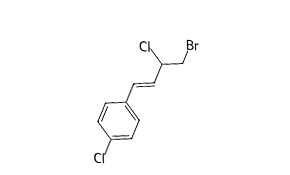 Clc1ccc(C=CC(Cl)CBr)cc1